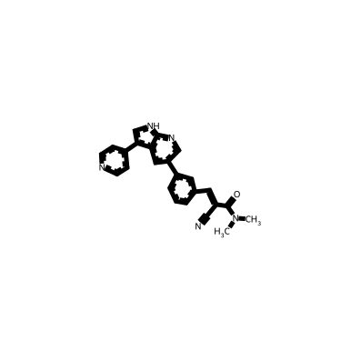 CN(C)C(=O)/C(C#N)=C/c1cccc(-c2cnc3[nH]cc(-c4ccncc4)c3c2)c1